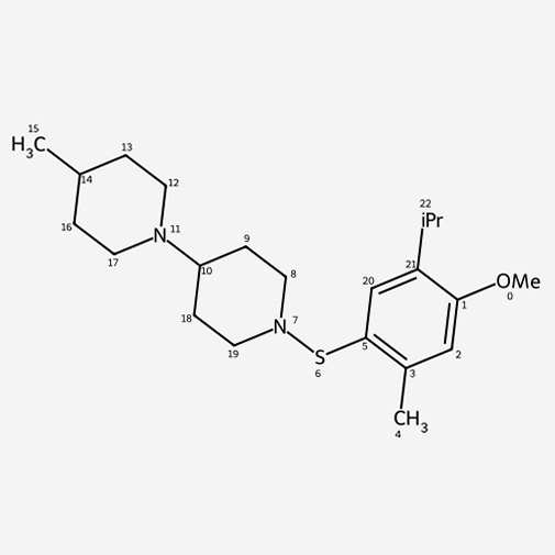 COc1cc(C)c(SN2CCC(N3CCC(C)CC3)CC2)cc1C(C)C